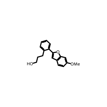 COc1ccc2cc(-c3ccccc3CCCO)oc2c1